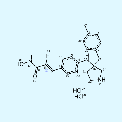 Cc1ccc(C[C@@]2(Nc3ccc(/C=C(\F)C(=O)NO)cn3)CCNC2)cc1.Cl.Cl